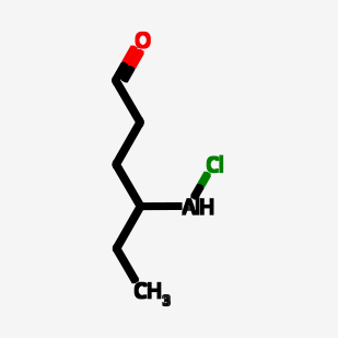 CC[CH](CCC=O)[AlH][Cl]